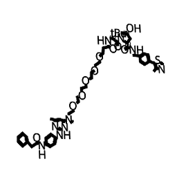 Cc1cc(N(C)CCOCCOCCOCCOCCOCCC(=O)N[C@H](C(=O)N2C[C@@H](O)C[C@H]2C(=O)NCc2ccc(-c3scnc3C)cc2)C(C)(C)C)nc(Nc2ccc(NC(=O)Cc3ccccc3)cc2)n1